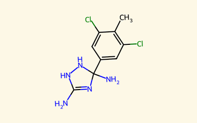 Cc1c(Cl)cc(C2(N)N=C(N)NN2)cc1Cl